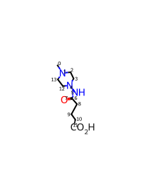 CN1CCN(NC(=O)CCCC(=O)O)CC1